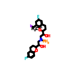 C[C@]12OC(C(O)CN(P)CC(O)C3CCc4cc(F)ccc4O3)CCC1=CC(F)CC2CI